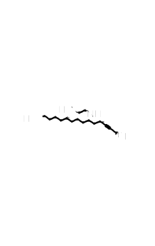 C#CC#CCCCCCCCCCCCC.NCCN